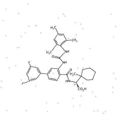 Cc1cc(C)c(NC(=O)Nc2cc(-c3cc(F)cc(F)c3)ccc2C(=O)N[C@H](C(=O)O)C2(C)CCCCC2)c(C)c1